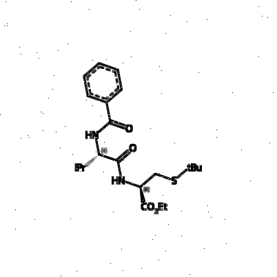 CCOC(=O)[C@H](CSC(C)(C)C)NC(=O)[C@@H](NC(=O)c1ccccc1)C(C)C